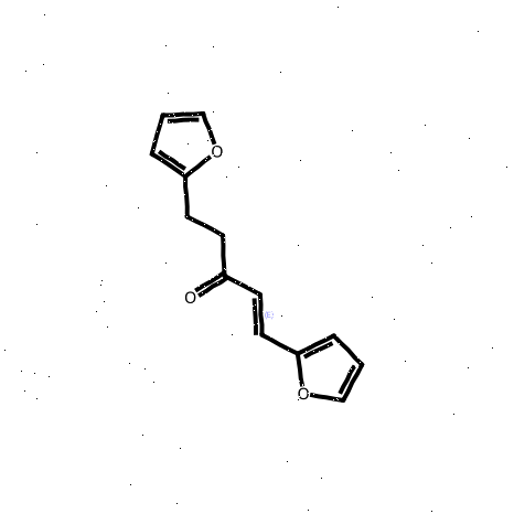 O=C(/C=C/c1ccco1)CCc1ccco1